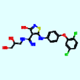 N=C(NCC(O)CO)c1c(O)nsc1Nc1ccc(Oc2cc(Cl)ccc2Cl)cc1